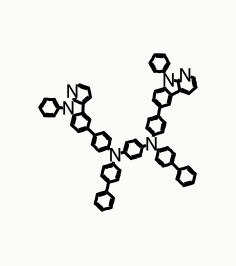 c1ccc(-c2ccc(N(c3ccc(-c4ccc5c(c4)c4cccnc4n5-c4ccccc4)cc3)c3ccc(N(c4ccc(-c5ccccc5)cc4)c4ccc(-c5ccc6c(c5)c5cccnc5n6-c5ccccc5)cc4)cc3)cc2)cc1